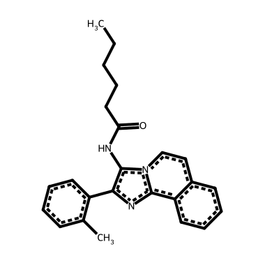 CCCCCC(=O)Nc1c(-c2ccccc2C)nc2c3ccccc3ccn12